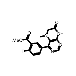 COC(=O)c1cc(-c2ncnc3c2N(C)CC(=O)N3)ccc1F